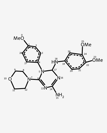 COc1ccc(N2C(N3CCOCC3)=NC(N)=NC2Nc2ccc(OC)c(OC)c2)cc1